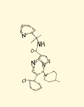 CC1CCN(c2c(-c3ccccc3Cl)cnc3c(C(=O)NC(C)(C)c4ccccn4)cnn23)CC1